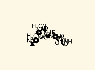 Cc1ccc(-c2c(C)noc2C)cc1N(CCOC1(C)CN(c2cc3c(cc2F)C(=O)N(C2CCONO2)C3=O)C1)c1ccc(C2(C#N)CC2)cc1